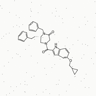 O=C(c1cc2cc(OCC3CC3)ccc2[nH]1)N1CC(=O)N(Cc2ccccc2)[C@@H](CCc2ccccc2)C1